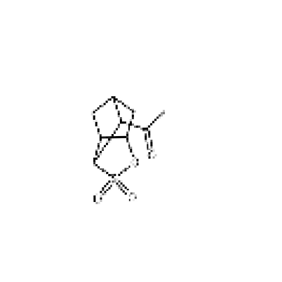 CC(=O)C1C2CC3OS(=O)(=O)C1C3C2